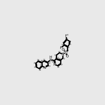 O=S(=O)(Cc1ccc(F)cc1F)N1CCc2c(ccnc2Nc2cnc3ccccc3c2)C1